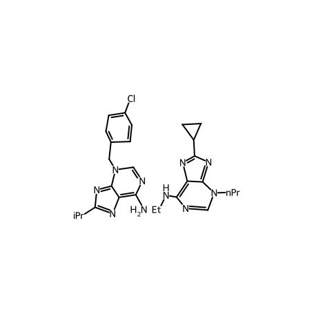 CC(C)c1nc2c(N)ncn(Cc3ccc(Cl)cc3)c-2n1.CCCn1cnc(NCC)c2nc(C3CC3)nc1-2